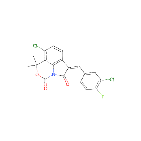 CC1(C)OC(=O)N2C(=O)C(=Cc3ccc(F)c(Cl)c3)c3ccc(Cl)c1c32